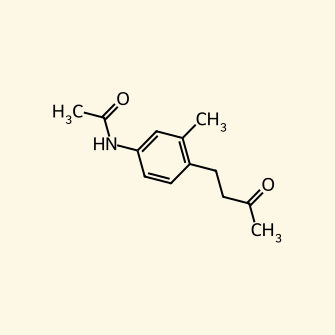 CC(=O)CCc1ccc(NC(C)=O)cc1C